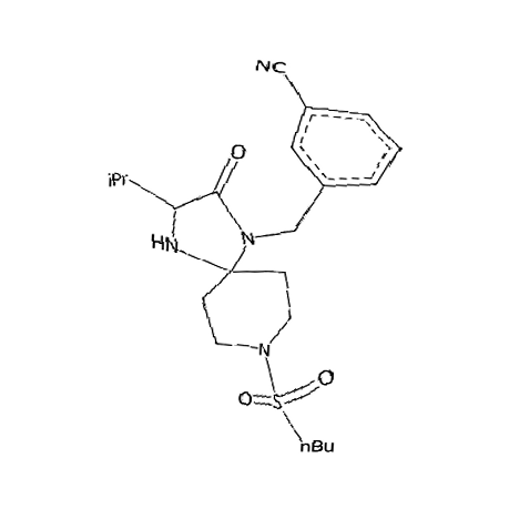 CCCCS(=O)(=O)N1CCC2(CC1)NC(C(C)C)C(=O)N2Cc1cccc(C#N)c1